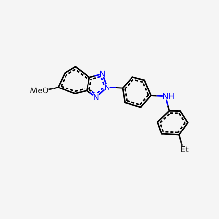 CCc1ccc(Nc2ccc(-n3nc4ccc(OC)cc4n3)cc2)cc1